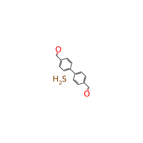 O=Cc1ccc(-c2ccc(C=O)cc2)cc1.S